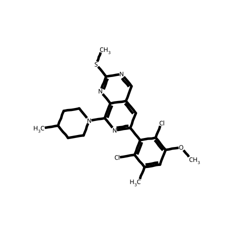 COc1cc(C)c(Cl)c(-c2cc3cnc(SC)nc3c(N3CCC(C)CC3)n2)c1Cl